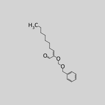 CCCCCCC/C=C(\C=O)OCOCc1ccccc1